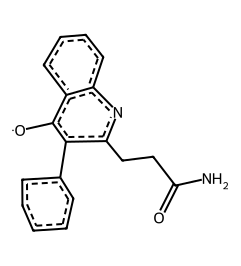 NC(=O)CCc1nc2ccccc2c([O])c1-c1ccccc1